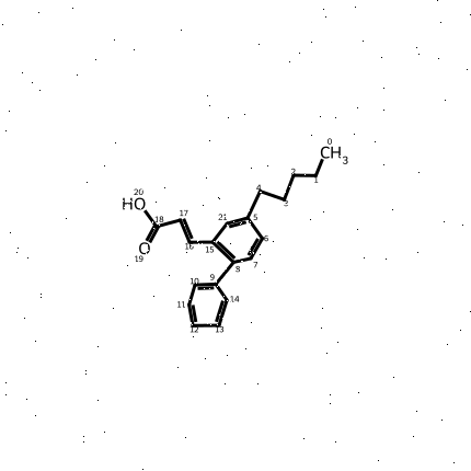 CCCCCc1ccc(-c2ccccc2)c(C=CC(=O)O)c1